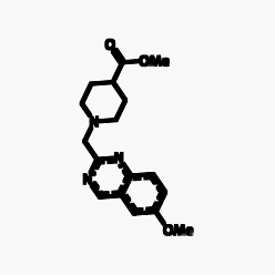 COC(=O)C1CCN(Cc2ncc3cc(OC)ccc3n2)CC1